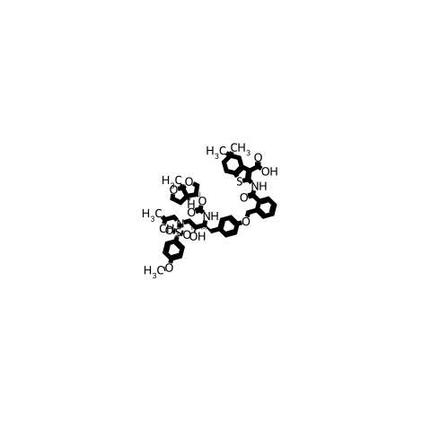 COc1ccc(S(=O)(=O)N(CC(C)C)C[C@@H](O)[C@H](Cc2ccc(OCc3ccccc3C(=O)Nc3sc4c(c3C(=O)O)CC(C)(C)CC4)cc2)NC(=O)O[C@H]2CO[C@@]3(C)OCC[C@@H]23)cc1